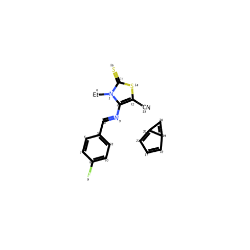 CCn1c(N=Cc2ccc(F)cc2)c(C#N)sc1=S.c1cc2cc-2c1